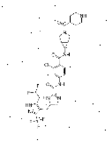 O=C(Nc1ccc(C(=O)NC2C3CN(C(=O)C4CCNCC4)CC32)c(Cl)c1)c1ncc(Cc2c(C(F)(F)F)n[nH]c2CC(F)F)[nH]1